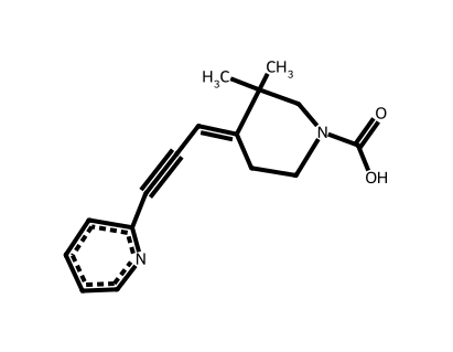 CC1(C)CN(C(=O)O)CC/C1=C\C#Cc1ccccn1